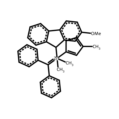 COc1ccc2c(c1)[CH]([Zr]([CH3])([CH3])([C]1=CC(C)=CC1)=[C](c1ccccc1)c1ccccc1)c1ccccc1-2